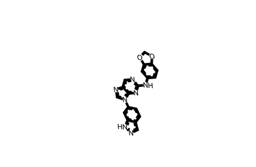 c1cc2c(cc1Nc1ncc3ncn(-c4ccc5cn[nH]c5c4)c3n1)OCO2